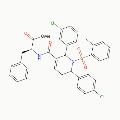 COC(=O)[C@H](Cc1ccccc1)NC(=O)C1=CCC(c2ccc(Cl)cc2)N(S(=O)(=O)c2ccccc2C)C1c1cccc(Cl)c1